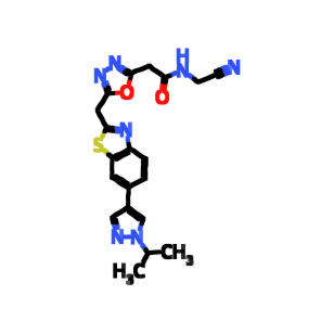 CC(C)n1cc(-c2ccc3nc(Cc4nnc(CC(=O)NCC#N)o4)sc3c2)cn1